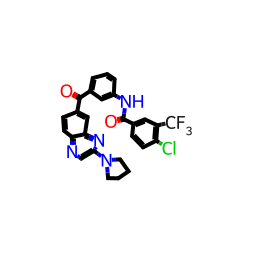 O=C(Nc1cccc(C(=O)c2ccc3ncc(N4CCCC4)nc3c2)c1)c1ccc(Cl)c(C(F)(F)F)c1